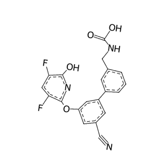 N#Cc1cc(Oc2nc(O)c(F)cc2F)cc(-c2cccc(CNC(=O)O)c2)c1